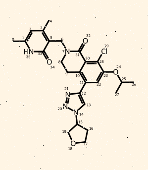 Cc1cc(C)c(CN2CCc3c(-c4cn(C5CCOC5)nn4)cc(OC(C)C)c(Cl)c3C2=O)c(=O)[nH]1